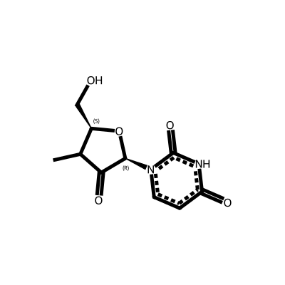 CC1C(=O)[C@H](n2ccc(=O)[nH]c2=O)O[C@@H]1CO